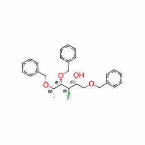 C[C@H](OCc1ccccc1)[C@@H](OCc1ccccc1)[C@H](F)[C@H](O)COCc1ccccc1